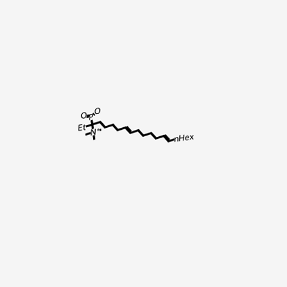 CCCCCCC=CCCCCC=CCCCCC(CC)(P(=O)=O)[N+](C)(C)C